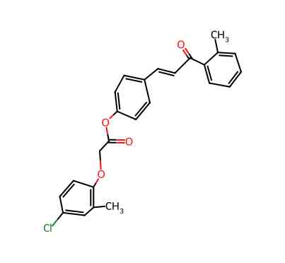 Cc1cc(Cl)ccc1OCC(=O)Oc1ccc(C=CC(=O)c2ccccc2C)cc1